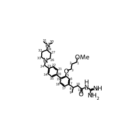 COCCCOc1cc(C(C)CC(=O)NC(=N)N)ccc1-c1ccc(CN2CCC(N(C)C)CC2)cc1